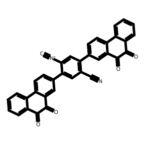 [C-]#[N+]c1cc(-c2ccc3c(c2)C(=O)C(=O)c2ccccc2-3)c(C#N)cc1-c1ccc2c(c1)C(=O)C(=O)c1ccccc1-2